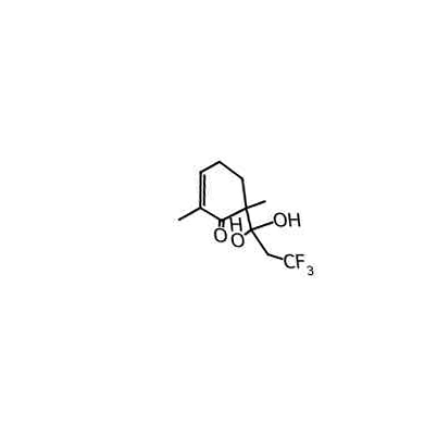 CC1=CCCC(C)(C(O)(O)CC(F)(F)F)C1=O